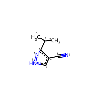 CC(C)c1n[nH]cc1C#N